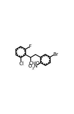 O=CC(Cc1cc(Br)ccc1[N+](=O)[O-])c1c(F)cccc1Cl